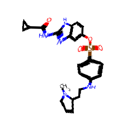 CN1CCCC1CCNc1ccc(S(=O)(=O)Oc2ccc3[nH]c(NC(=O)C4CC4)nc3c2)cc1